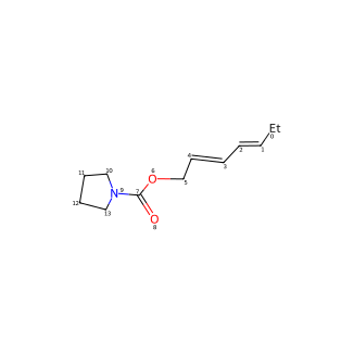 CCC=CC=CCOC(=O)N1CCCC1